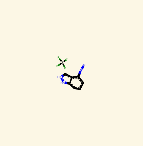 F[B-](F)(F)F.[N-]=[N+]=c1cccc2[nH][nH]cc1-2